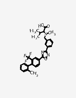 Cc1ccccc1-c1ccc(-c2nc(-c3cccc(CN(C)C(C(=O)O)C(C)C)c3)no2)cc1C(F)(F)F